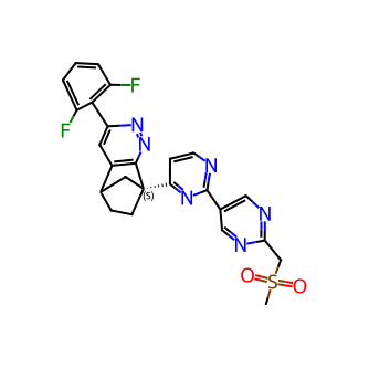 CS(=O)(=O)Cc1ncc(-c2nccc([C@]34CCC(C3)c3cc(-c5c(F)cccc5F)nnc34)n2)cn1